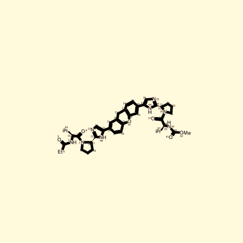 CCC(=O)N[C@H](C(=O)N1CCC[C@H]1c1ncc(-c2ccc3c(c2)Cc2ccc(-c4cnc([C@@H]5CCCN5C(=O)[C@@H](NC(=O)OC)C(C)C)[nH]4)cc2O3)[nH]1)C(C)C